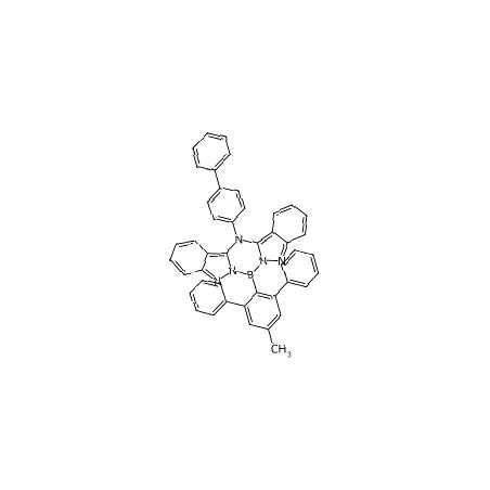 Cc1cc(-c2ccccc2)c(B2n3nc4ccccc4c3N(c3ccc(-c4ccccc4)cc3)c3c4ccccc4nn32)c(-c2ccccc2)c1